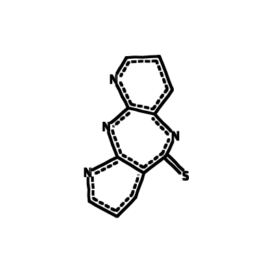 S=c1nc2cccnc2nc2ncccc12